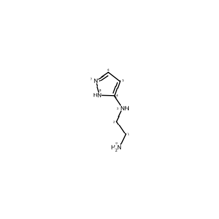 NCCNc1ccn[nH]1